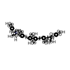 N=C(C(=O)O)/C(N=Nc1ccc(N=Nc2ccc(-c3ccc(N=Nc4ccc(N=Nc5c(C(=O)O)nn(-c6ccc(S(=O)(=O)O)cc6)c5O)c(S(=O)(=O)O)c4)cc3S(=O)(=O)O)c(S(=O)(=O)O)c2)cc1S(=O)(=O)O)=C(/O)Nc1ccc(S(=O)(=O)O)cc1